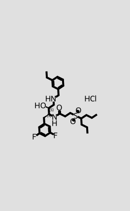 CCCC(CCC)S(=O)(=O)CCC(=O)N[C@@H](Cc1cc(F)cc(F)c1)[C@@H](O)CNCc1cccc(CC)c1.Cl